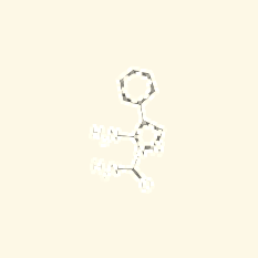 NC(=O)n1ncc(-c2ccccc2)c1N